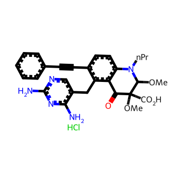 CCCN1c2ccc(C#Cc3ccccc3)c(Cc3cnc(N)nc3N)c2C(=O)C(OC)(C(=O)O)C1OC.Cl